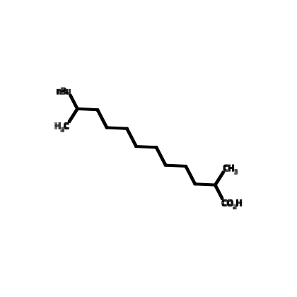 CCCCC(C)CCCCCCCCC(C)C(=O)O